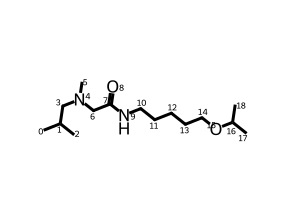 CC(C)CN(C)CC(=O)NCCCCCOC(C)C